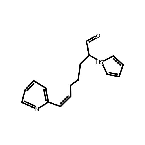 O=CC(CCC/C=C\c1ccccn1)[SH]1C=CC=C1